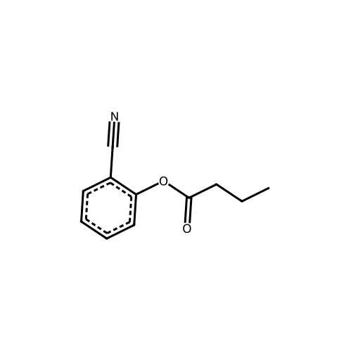 CCCC(=O)Oc1ccccc1C#N